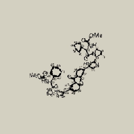 COC(=O)N[C@@H](C(=O)N1CCC[C@H]1c1ncc(-c2ccc3c(=O)c4cc(-c5cnc([C@@H]6CSCN6C(=O)[C@H](NC(=O)OC)c6ccccc6)[nH]5)ccc4oc3c2)[nH]1)c1ccccc1